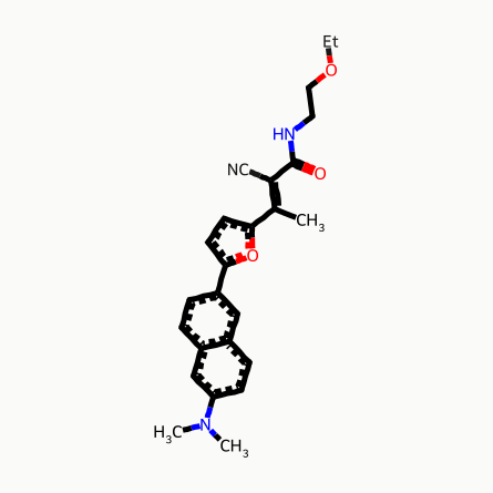 CCOCCNC(=O)/C(C#N)=C(\C)c1ccc(-c2ccc3cc(N(C)C)ccc3c2)o1